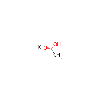 CC(=O)O.[K]